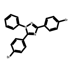 Brc1ccc(-c2nc(-c3ccc(Br)cc3)n(-c3ccccc3)n2)cc1